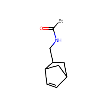 CCC(=O)NCC1CC2C=CC1C2